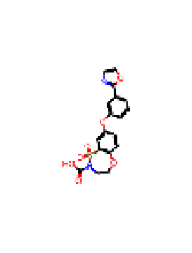 O=C(O)N1CCOc2ccc(Oc3cccc(-c4ncco4)c3)cc2S1(=O)=O